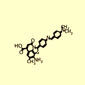 Cc1cc2c(C(=O)O)cc(=O)n3c(=C4C=CC(=NC=C5C=CC(=[N+](C)C)C=C5)C=C4)sc(c1N)c23